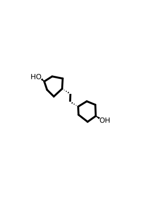 O[C@H]1CC[C@H](CC[C@H]2CC[C@H](O)CC2)CC1